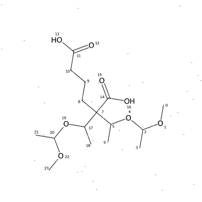 COC(C)OC(C)C(CCCC(=O)O)(C(=O)O)C(C)OC(C)OC